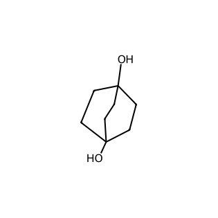 OC12CCC(O)(CC1)CC2